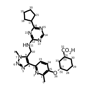 Cc1nc(-c2nnn(C)c2CNc2ncnc(C3CCCC3)n2)ccc1O[C@H]1CCC[C@H](C(=O)O)C1